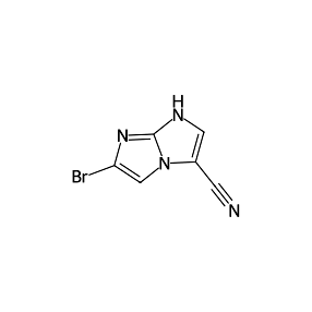 N#Cc1c[nH]c2nc(Br)cn12